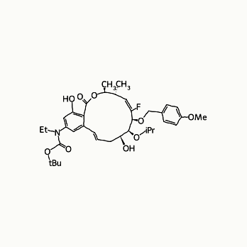 CCN(C(=O)OC(C)(C)C)c1cc(O)c2c(c1)/C=C/C[C@H](O)[C@H](OC(C)C)[C@H](OCc1ccc(OC)cc1)/C(F)=C\[C@@H](C)[C@H](C)OC2=O